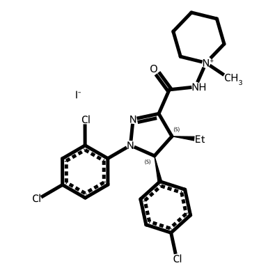 CC[C@@H]1C(C(=O)N[N+]2(C)CCCCC2)=NN(c2ccc(Cl)cc2Cl)[C@@H]1c1ccc(Cl)cc1.[I-]